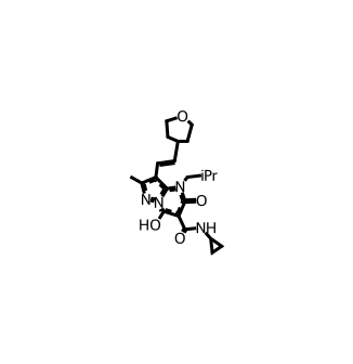 Cc1nn2c(O)c(C(=O)NC3CC3)c(=O)n(CC(C)C)c2c1C=CC1CCOCC1